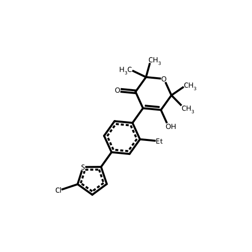 CCc1cc(-c2ccc(Cl)s2)ccc1C1=C(O)C(C)(C)OC(C)(C)C1=O